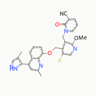 COc1ncc(F)c(COc2cccc3c(-c4[nH]ncc4C)cc(C)nc23)c1Cn1cccc(C#N)c1=O